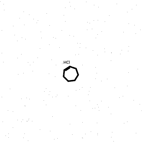 C1=CCCCCC1.Cl